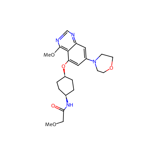 COCC(=O)N[C@H]1CC[C@@H](Oc2cc(N3CCOCC3)cc3ncnc(OC)c23)CC1